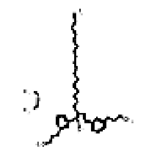 CCCCCCCCCCCCCCCCCCC1=C(c2cccc(CCCC)c2)[N+](=[N-])C(c2cccc(CCCC)c2)=C1.C[CH2][Ni][CH2]C